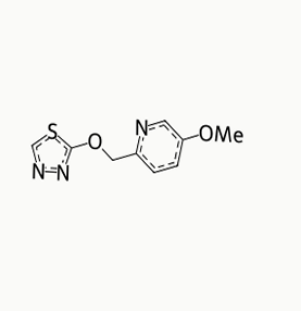 COc1ccc(COc2nncs2)nc1